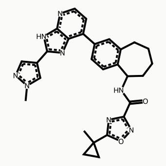 Cn1cc(-c2nc3c(-c4ccc5c(c4)CCCCC5NC(=O)c4noc(C5(C)CC5)n4)ccnc3[nH]2)cn1